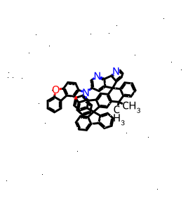 CC1(C)c2ccccc2C2(c3cc4c(cc31)C1(c3ccccc3-c3ccccc31)c1ccccc1-4)c1cccnc1-c1ncc(-n3c4ccccc4c4c5c(ccc43)oc3ccccc35)cc12